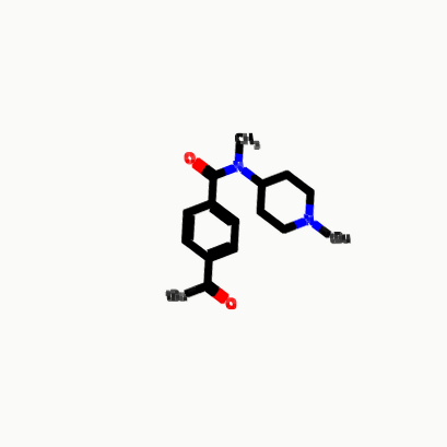 CN(C(=O)c1ccc(C(=O)C(C)(C)C)cc1)C1CCN(C(C)(C)C)CC1